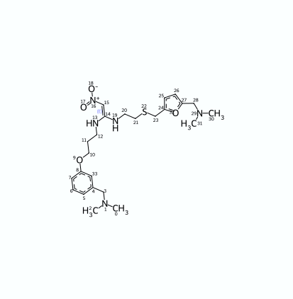 CN(C)Cc1cccc(OCCCN/C(=C\[N+](=O)[O-])NCCSCc2ccc(CN(C)C)o2)c1